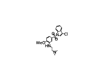 COc1ccc(S(=O)(=O)n2cc(Cl)c3ccccc32)cc1NCCN(C)C